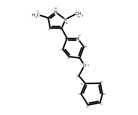 Cc1cc(-c2ccc(OCc3ccccc3)cn2)n(C)n1